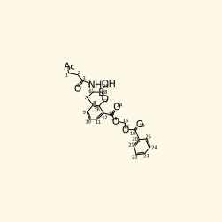 CC(=O)CCC(=O)N[C@H]1Cc2cccc(C(=O)OCOC(=O)c3ccccc3)c2OB1O